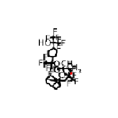 CCC(CC1(C)C2CC3CC(C2)CC1C3)(CC(C)(C(=O)OC(C1CCC(C(O)(C(F)(F)F)C(F)(F)F)CC1)(C(F)(F)F)C(F)(F)F)C(F)(F)F)C(F)(F)F